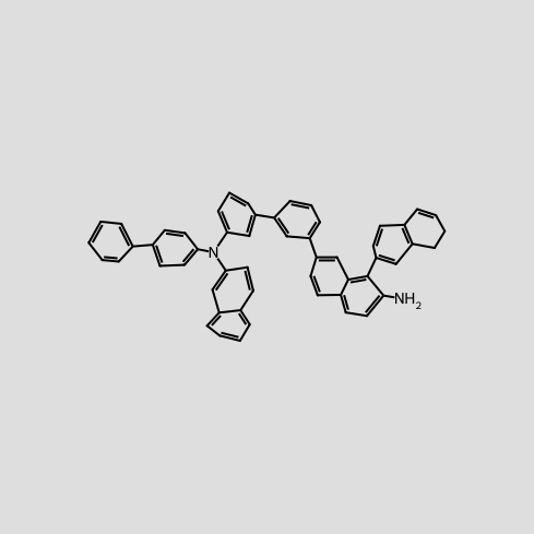 Nc1ccc2ccc(-c3cccc(-c4cccc(N(c5ccc(-c6ccccc6)cc5)c5ccc6ccccc6c5)c4)c3)cc2c1-c1ccc2c(c1)CCC=C2